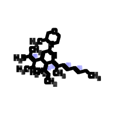 B/C(C)=C(\C(=C)C)c1cc(N2CCOCC2C)nc(=C(C)\C=C\C=C\CC)/c1=C(/P)C=C